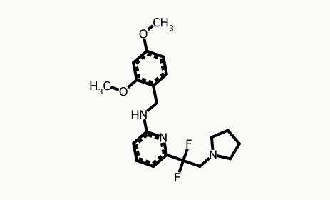 COc1ccc(CNc2cccc(C(F)(F)CN3CCCC3)n2)c(OC)c1